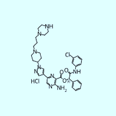 Cl.Nc1ncc(-c2cnn(C3CCN(CCCN4CCNCC4)CC3)c2)nc1C(=O)O[C@@H](C(=O)Nc1cccc(Cl)c1)c1ccccc1